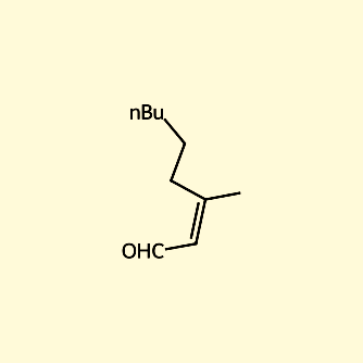 CCCCCC/C(C)=C\C=O